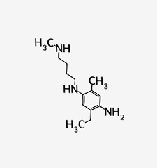 CCc1cc(NCCCCNC)c(C)cc1N